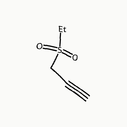 C#CCS(=O)(=O)C[CH2]